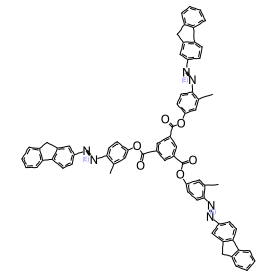 Cc1cc(OC(=O)c2cc(C(=O)Oc3ccc(/N=N/c4ccc5c(c4)Cc4ccccc4-5)c(C)c3)cc(C(=O)Oc3ccc(/N=N/c4ccc5c(c4)Cc4ccccc4-5)c(C)c3)c2)ccc1/N=N/c1ccc2c(c1)Cc1ccccc1-2